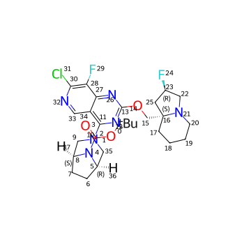 CC(C)(C)OC(=O)N1[C@@H]2CC[C@H]1CN(c1nc(OC[C@@]34CCCCN3C[C@H](F)C4)nc3c(F)c(Cl)ncc13)C2